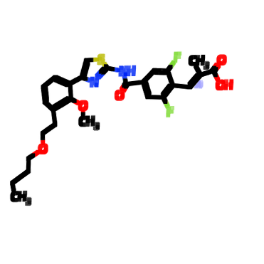 CCCCOCCc1cccc(-c2csc(NC(=O)c3cc(F)c(/C=C(\C)C(=O)O)c(F)c3)n2)c1OC